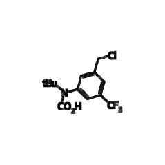 CC(C)(C)N(C(=O)O)c1cc(CCl)cc(C(F)(F)F)c1